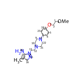 COCCOc1ccc(N2CCN(CCn3ncc(C)c3N)CC2)cc1